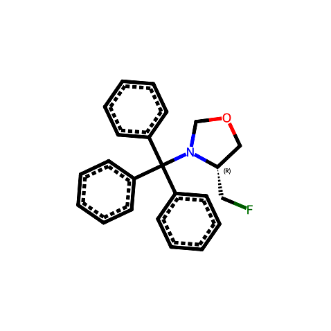 FC[C@H]1COCN1C(c1ccccc1)(c1ccccc1)c1ccccc1